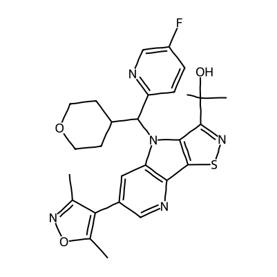 Cc1noc(C)c1-c1cnc2c3snc(C(C)(C)O)c3n(C(c3ccc(F)cn3)C3CCOCC3)c2c1